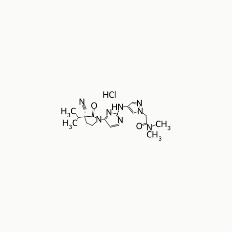 CC(C)[C@]1(C#N)CCN(c2ccnc(Nc3cnn(CC(=O)N(C)C)c3)n2)C1=O.Cl